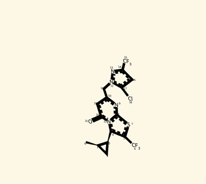 C[C@@H]1C[C@@H]1c1c(C(F)(F)F)sc2nc(Cn3nc(C(F)(F)F)cc3Cl)cc(=O)n12